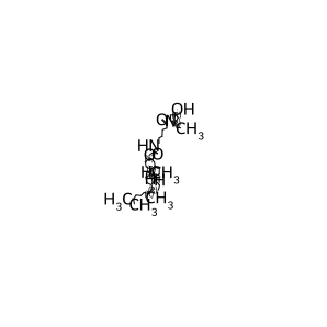 CC[C@@H]1C[C@@H](O)CN1C(=O)CCCCCNC(=O)O[C@H]1CC[C@@]2(C)C(=CC[C@H]3[C@@H]4CC[C@H]([C@H](C)CCCC(C)C)C4CC[C@@H]32)C1